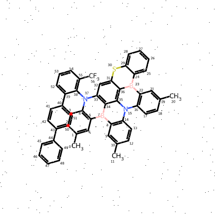 Cc1ccc2c(c1)B1c3cc(C)ccc3N3c4ccc(C)cc4B4c5ccccc5Sc5cc(c1c3c54)N2c1c(-c2ccc(-c3ccccc3)cc2)cccc1C(F)(F)F